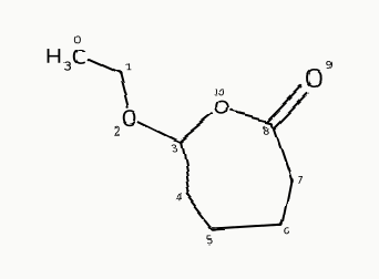 CCOC1CCCCC(=O)O1